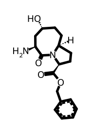 N[C@H]1C[C@H](O)CC[C@H]2CC[C@@H](C(=O)OCc3ccccc3)N2C1=O